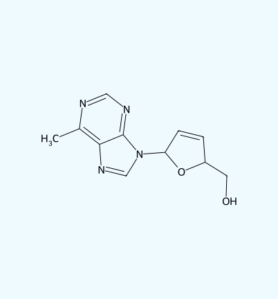 Cc1ncnc2c1ncn2C1C=CC(CO)O1